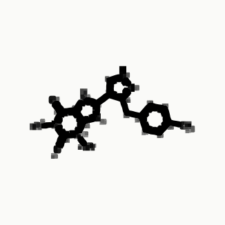 CCCn1c(=O)c2[nH]c(-c3c[nH]nc3Cc3ccc(C)cc3)nc2n(CCC)c1=O